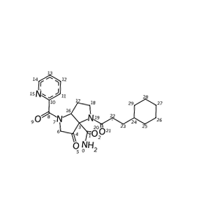 NC(=O)C12C(=O)CN(C(=O)c3ccccn3)C1CCN2C(=O)[CH]CC1CCCCC1